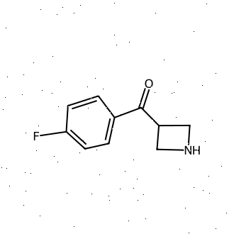 O=C(c1ccc(F)cc1)C1CNC1